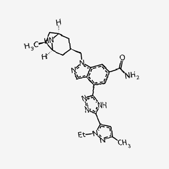 CCn1nc(C)cc1-c1nnc(-c2cc(C(N)=O)cc3c2cnn3C[C@@H]2C[C@@H]3C[C@H](C)[C@H](C2)N3)[nH]1